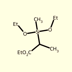 CCOC(=O)C(C)[Si](C)(OCC)OCC